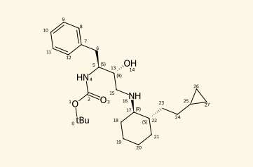 CC(C)(C)OC(=O)N[C@@H](Cc1ccccc1)[C@H](O)CN[C@@H]1CCCC[C@H]1CCC1CC1